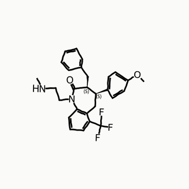 CNCCN1C(=O)[C@@H](Cc2ccccc2)[C@@H](c2ccc(OC)cc2)Cc2c1cccc2C(F)(F)F